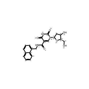 O=C(NCc1cccc2ccccc12)c1cn([C@H]2CC(O)[C@@H](CO)O2)c(=O)[nH]c1=O